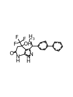 CC(c1ccc(-c2ccccc2)cc1)c1n[nH]c2c1C(O)(C(F)(F)F)CC(=O)N2